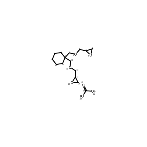 C1CCC(COCC2CO2)(COCC2CO2)CC1.O=C(O)O